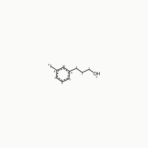 OCCCc1cccc(I)c1